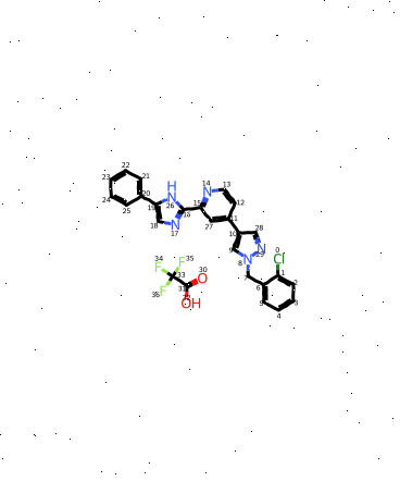 Clc1ccccc1Cn1cc(-c2ccnc(-c3ncc(-c4ccccc4)[nH]3)c2)cn1.O=C(O)C(F)(F)F